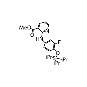 COC(=O)c1cccnc1Nc1ccc(O[Si](C(C)C)(C(C)C)C(C)C)c(F)c1